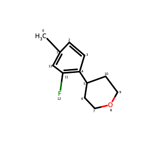 Cc1ccc(C2CCOCC2)c(F)c1